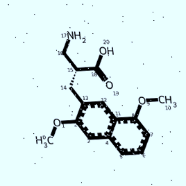 COc1cc2cccc(OC)c2cc1C[C@H](CN)C(=O)O